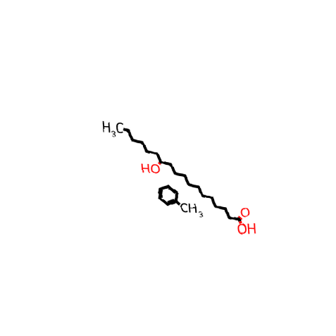 CCCCCCC(O)CCCCCCCCCCC(=O)O.Cc1ccccc1